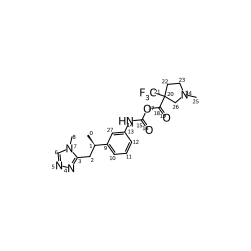 C[C@H](Cc1nncn1C)c1cccc(NC(=O)OC(=O)C2(C(F)(F)F)CCN(C)C2)c1